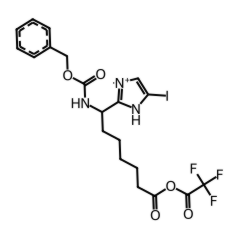 O=C(CCCCCC(NC(=O)OCc1ccccc1)C1=[N+]C=C(I)N1)OC(=O)C(F)(F)F